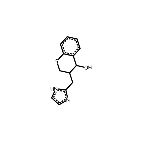 OC1c2ccccc2SCC1Cc1ncc[nH]1